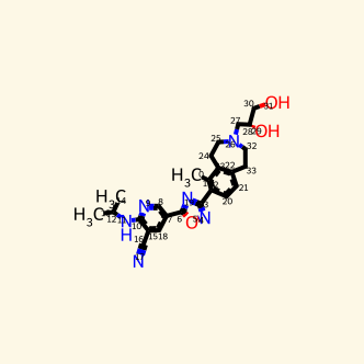 Cc1c(-c2noc(-c3cnc(NC(C)C)c(C#N)c3)n2)ccc2c1CCN(C[C@H](O)CO)CC2